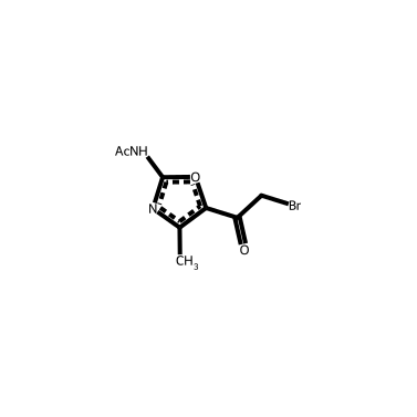 CC(=O)Nc1nc(C)c(C(=O)CBr)o1